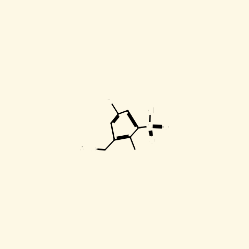 CC(=O)OCc1cc(F)cc(S(=O)(=O)Cl)c1C